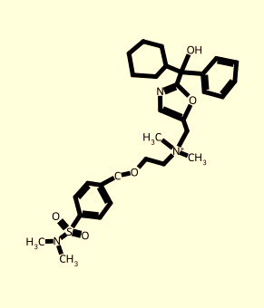 CN(C)S(=O)(=O)c1ccc(COCC[N+](C)(C)Cc2cnc(C(O)(c3ccccc3)C3CCCCC3)o2)cc1